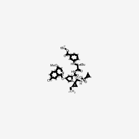 C=C[C@@H]1C[C@@]1(C(=O)NS(=O)(=O)C1CC1)N1C[C@H](Oc2ncc(OC)c3ccc(Cl)cc23)C[C@H]1C(=O)NC(=O)[C@H](Nc1cccc(C(=O)OC(C)(C)C)c1)C(C)(C)C